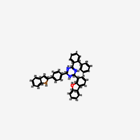 c1ccc(-c2ccccc2-c2nc(-c3ccc(-c4cc5ccccc5s4)cc3)nc(-c3cccc4c3oc3ccccc34)n2)cc1